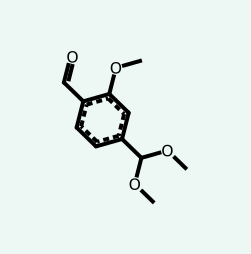 COc1cc(C(OC)OC)ccc1C=O